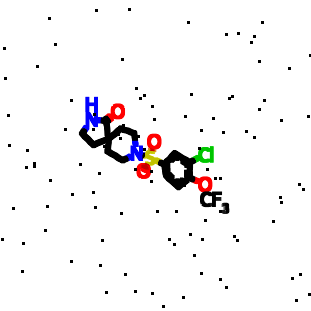 O=C1NCCC12CCN(S(=O)(=O)c1ccc(OC(F)(F)F)c(Cl)c1)CC2